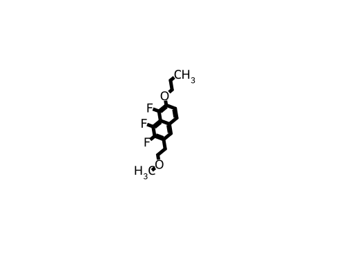 CCCOc1ccc2cc(CCOC)c(F)c(F)c2c1F